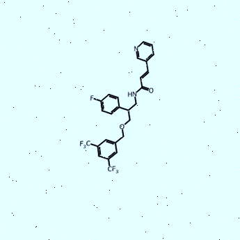 O=C(C=Cc1cccnc1)NCC(COCc1cc(C(F)(F)F)cc(C(F)(F)F)c1)c1ccc(F)cc1